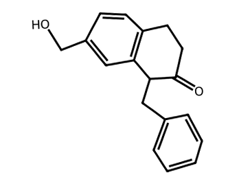 O=C1CCc2ccc(CO)cc2C1Cc1ccccc1